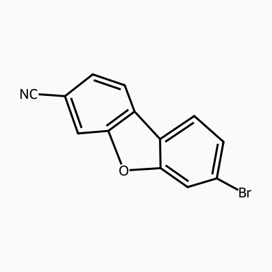 N#Cc1ccc2c(c1)oc1cc(Br)ccc12